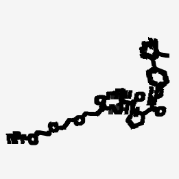 CCCCC(NC(=O)CCOCCOCCOCCC)C(=O)N1CCCC1C(=O)NCc1ccc(-c2scnc2C)cc1